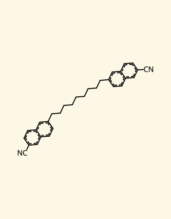 N#Cc1ccc2cc(CCCCCCCCCc3ccc4cc(C#N)ccc4c3)ccc2c1